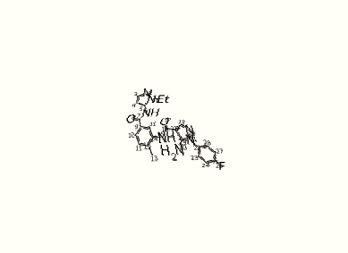 CCn1nccc1NC(=O)c1ccc(C)c(NC(=O)c2cnn(-c3ccc(F)cc3)c2N)c1